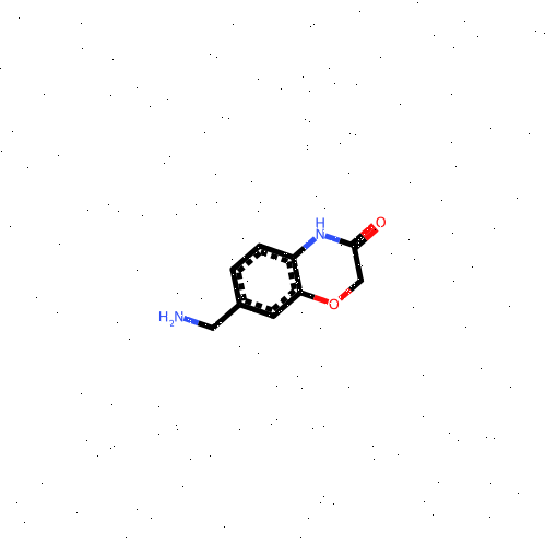 NCc1ccc2c(c1)OCC(=O)N2